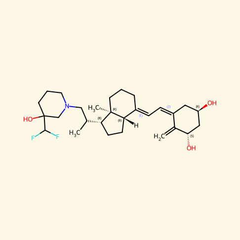 C=C1/C(=C\C=C2/CCC[C@]3(C)[C@@H](C(C)CN4CCCC(O)(C(F)F)C4)CC[C@@H]23)C[C@@H](O)C[C@@H]1O